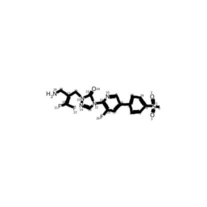 CS(=O)(=O)c1ccc(-c2cnc(-n3cnn(CC(CN)=C(F)F)c3=O)c(F)c2)cc1